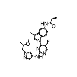 C=CC(=O)Nc1ccc2c(c1)c(C)cn2-c1nc(Nc2cnn(CC(C)OC)c2)ncc1F